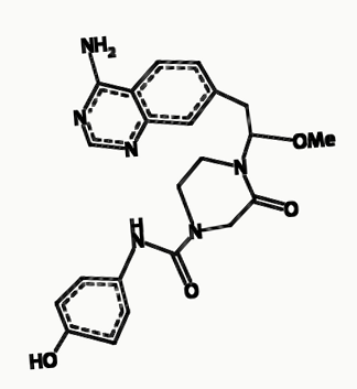 COC(Cc1ccc2c(N)ncnc2c1)N1CCN(C(=O)Nc2ccc(O)cc2)CC1=O